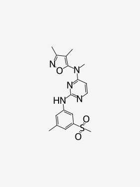 Cc1cc(Nc2nccc(N(C)c3onc(C)c3C)n2)cc(S(C)(=O)=O)c1